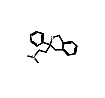 CN(C)CCC1(c2ccccc2)Cc2ccccc2CO1